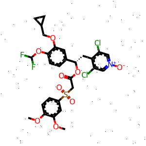 COc1ccc(S(=O)(=O)CC(=O)O[C@@H](Cc2c(Cl)c[n+]([O-])cc2Cl)c2ccc(OC(F)F)c(OCC3CC3)c2)cc1OC